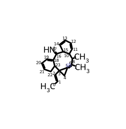 CC=CC12C/C1=C(\C)C(C)C1C=CC=CC1C(=N)C1=CC=CCC12